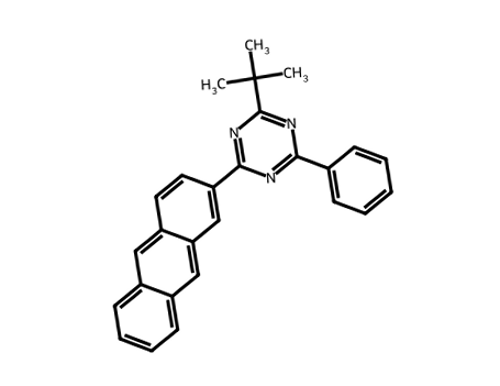 CC(C)(C)c1nc(-c2ccccc2)nc(-c2ccc3cc4ccccc4cc3c2)n1